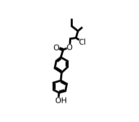 CCC(C)C(Cl)COC(=O)c1ccc(-c2ccc(O)cc2)cc1